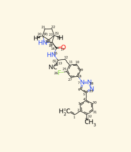 C=Cc1cc(-c2cn(-c3ccc(C[C@@H](C#N)NC(=O)[C@H]4N[C@@H]5CC[C@H]4C5)c(F)c3)nn2)ccc1C